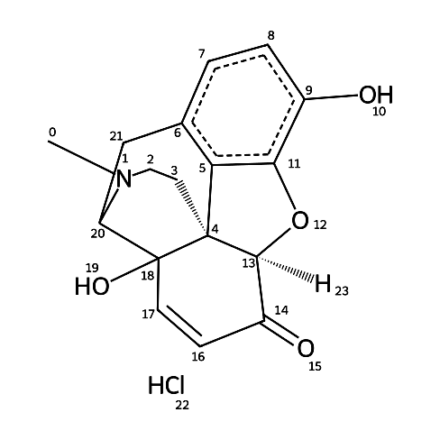 CN1CC[C@]23c4c5ccc(O)c4O[C@H]2C(=O)C=CC3(O)C1C5.Cl